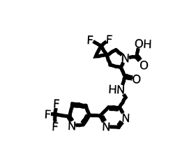 O=C(NCc1cc(-c2ccc(C(F)(F)F)nc2)ncn1)C1CC2(CN1C(=O)O)CC2(F)F